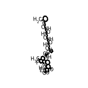 C=CC1CCCCCCC1OCC(=O)NCC(=O)NCC(=O)NCC(=O)NCC(=O)N1CCCC1OCC(=O)N[C@H]1CCc2c(C)c(F)cc3nc4c(c1c23)CCCC1CC(=O)C2=C(C=C41)[C@@](O)(CC)C(=O)OC2